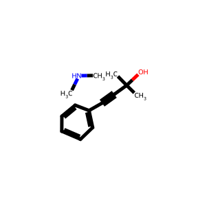 CC(C)(O)C#Cc1ccccc1.CNC